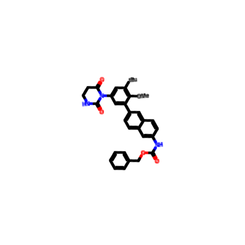 COc1c(-c2ccc3cc(NC(=O)OCc4ccccc4)ccc3c2)cc(N2C(=O)CCNC2=O)cc1C(C)(C)C